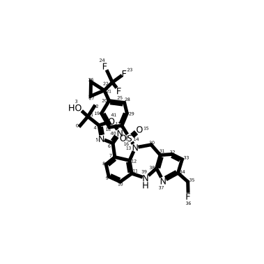 CC(C)(O)c1nc(-c2cccc3c2N(S(=O)(=O)c2ccc(C4(C(F)(F)F)CC4)cc2)Cc2ccc(CF)nc2N3)no1